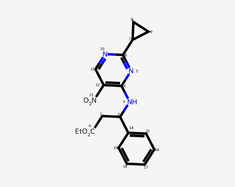 CCOC(=O)CC(Nc1nc(C2CC2)ncc1[N+](=O)[O-])c1ccccc1